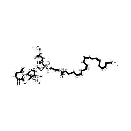 CC/C=C\C/C=C\C/C=C\C/C=C\C/C=C\CCCC(=O)NCCNP(=O)(NCC(=O)OC)OC[C@H]1O[C@@H](n2c(=O)cc[nH]c2=O)[C@](C)(F)[C@@H]1O